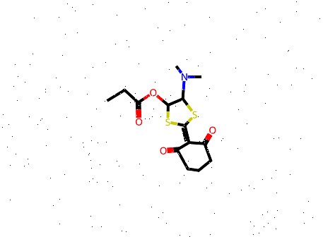 CCC(=O)OC1SC(=C2C(=O)CCCC2=O)SC1N(C)C